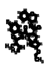 CCO[C@@H]1C[C@@H]2CN(C(=O)[C@@H](NC(=O)[C@H](C)NC)c3ccc(F)cc3)[C@H](C(=O)N[C@@H]3CCOc4ccccc43)CN2C1